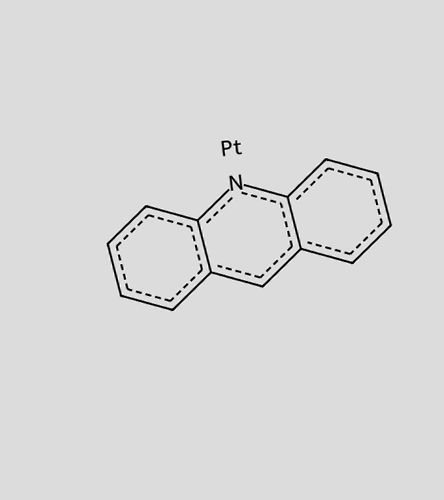 [Pt].c1ccc2nc3ccccc3cc2c1